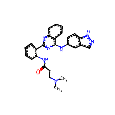 CN(C)CCC(=O)Nc1ccccc1-c1nc(Nc2ccc3[nH]ncc3c2)c2ccccc2n1